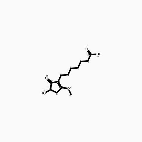 COC1=C(CCCCCCC(=O)O)C(=O)C(O)C1